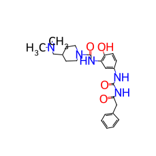 CN(C)CC1CCN(C(=O)Nc2cc(NC(=O)NC(=O)Cc3ccccc3)ccc2O)CC1